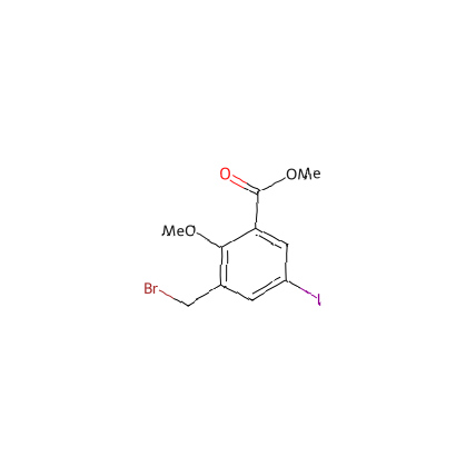 COC(=O)c1cc(I)cc(CBr)c1OC